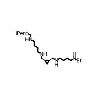 CCCC(C)CNCCCCNC[C@@H]1C[C@@H]1CNCCCCNCC